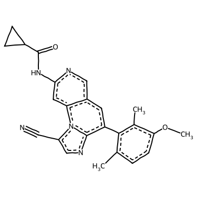 COc1ccc(C)c(-c2cc3cnc(NC(=O)C4CC4)cc3n3c(C#N)cnc23)c1C